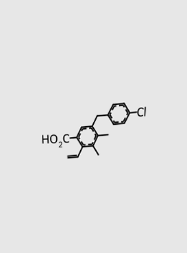 C=Cc1c(C(=O)O)cc(Cc2ccc(Cl)cc2)c(C)c1C